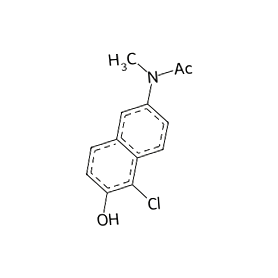 CC(=O)N(C)c1ccc2c(Cl)c(O)ccc2c1